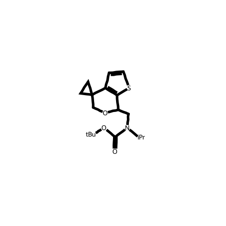 CC(C)N(CC1OCC2(CC2)c2ccsc21)C(=O)OC(C)(C)C